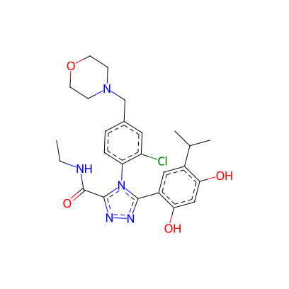 CCNC(=O)c1nnc(-c2cc(C(C)C)c(O)cc2O)n1-c1ccc(CN2CCOCC2)cc1Cl